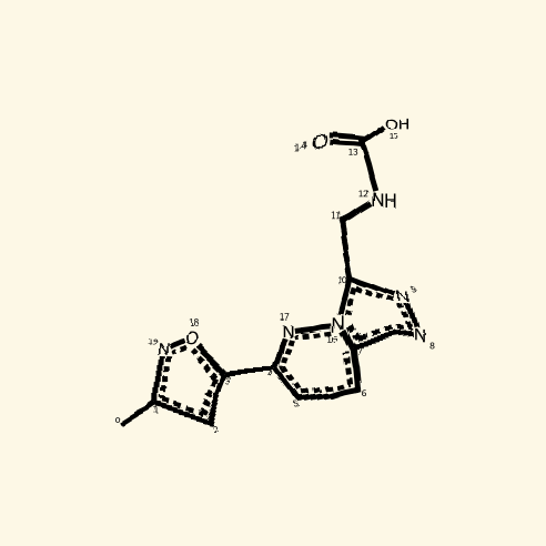 Cc1cc(-c2ccc3nnc(CNC(=O)O)n3n2)on1